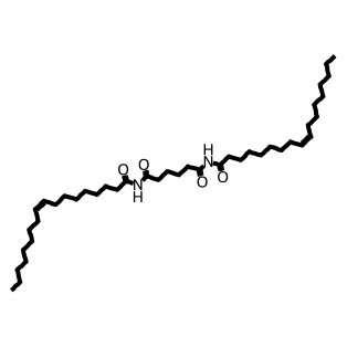 CCCCCCCC/C=C\CCCCCCCC(=O)NC(=O)CCCCC(=O)NC(=O)CCCCCCC/C=C\CCCCCCCC